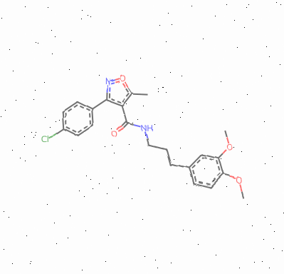 COc1ccc(CCCNC(=O)c2c(-c3ccc(Cl)cc3)noc2C)cc1OC